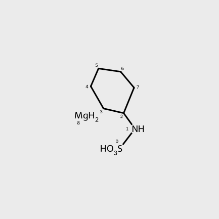 O=S(=O)(O)NC1CCCCC1.[MgH2]